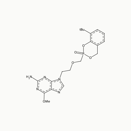 COc1nc(N)nc2c1ncn2CCOCP1(=O)OCc2cccc(C(C)(C)C)c2O1